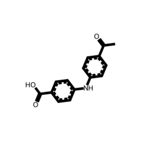 CC(=O)c1ccc(Nc2ccc(C(=O)O)cc2)cc1